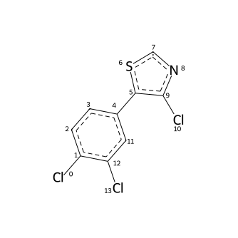 Clc1ccc(-c2s[c]nc2Cl)cc1Cl